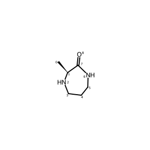 C[C@@H]1NCCCNC1=O